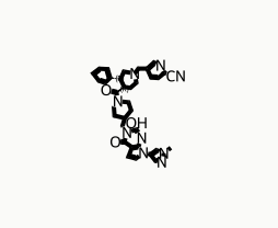 Cn1cc(-n2ccc3c(=O)n(CC4(O)CCN(C(=O)[C@@H]5CCN(Cc6ccc(C#N)nc6)C[C@H]5c5ccccc5)CC4)cnc32)cn1